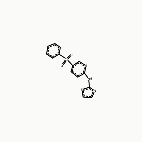 O=S(=O)(c1ccccc1)c1ccc(Nc2nccs2)nc1